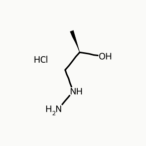 C[C@@H](O)CNN.Cl